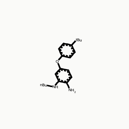 CCCCNc1cc(Oc2ccc(C(C)(C)C)cc2)ccc1N